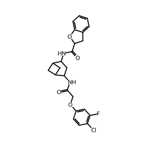 O=C(COc1ccc(Cl)c(F)c1)NC1CC(NC(=O)C2Cc3ccccc3O2)C2CC1C2